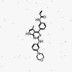 C=CC(=O)Nc1cccc(-c2nc(Nc3cccc(N4CCOCC4)c3)nc3[nH]cc(C)c23)c1